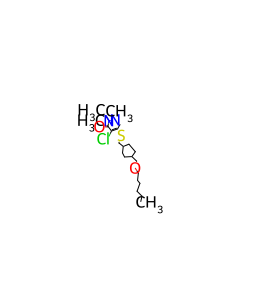 CCCCCCOCC1CCC(CSc2cnn(C(C)(C)C)c(=O)c2Cl)CC1